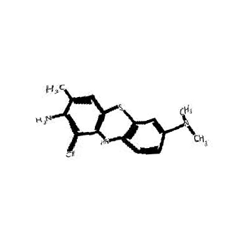 Cc1cc2c(c(Cl)c1N)Nc1ccc(N(C)C)cc1S2